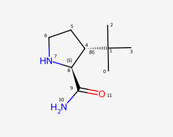 CC(C)(C)[C@H]1CCN[C@@H]1C(N)=O